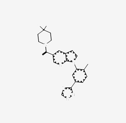 Cc1ccc(-c2nnc[nH]2)cc1-n1ccc2cc(C(=O)N3CCC(F)(F)CC3)cnc21